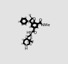 CNC(=O)c1cc(C(=O)NCC[C@@H]2CCNCC2(F)F)cc2c1O[C@H](C)[C@H]2c1ccccc1